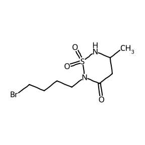 CC1CC(=O)N(CCCCBr)S(=O)(=O)N1